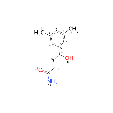 Cc1cc(C)cc(C(O)CCC(N)=O)c1